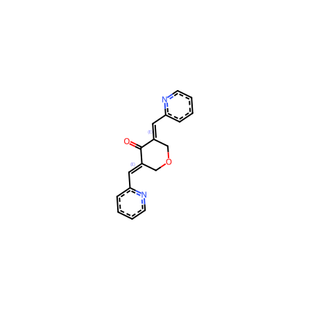 O=C1/C(=C/c2ccccn2)COC/C1=C\c1ccccn1